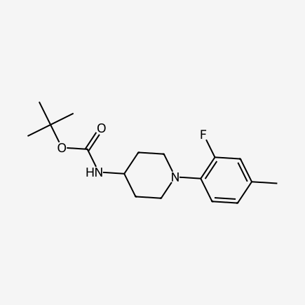 Cc1ccc(N2CCC(NC(=O)OC(C)(C)C)CC2)c(F)c1